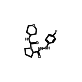 O=C(NNc1ccc(F)cc1)C1CCCN1C(=O)NC1CCOCC1